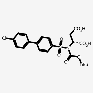 CCCCOC(=O)N([C@H](CC(=O)O)C(=O)O)S(=O)(=O)c1ccc(-c2ccc(Cl)cc2)cc1